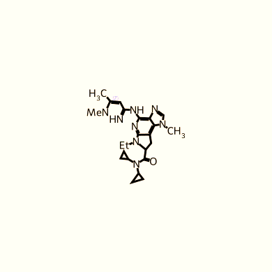 CCN1c2nc(NC(=N)/C=C(/C)NC)c3ncn(C)c3c2CC1C(=O)N(C1CC1)C1CC1